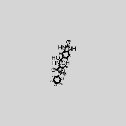 Cc1c(NC(O)(O)c2ccc3[nH]c(=O)[nH]c3c2)c(=O)n(-c2ccccc2)n1C